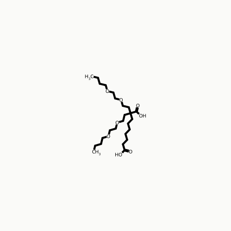 CCCCOCCOCCC(CCCCCCC(=O)O)(CCOCCOCCCC)C(=O)O